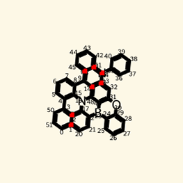 c1ccc(-c2cccc(-c3ccccc3)c2N2c3ccccc3B3c4ccccc4Oc4cc(N(c5ccccc5)c5ccccc5)cc2c43)cc1